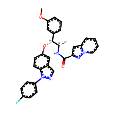 COc1cccc([C@@H](Oc2ccc3c(cnn3-c3ccc(F)cc3)c2)[C@H](C)NC(=O)c2cc3ccccn3n2)c1